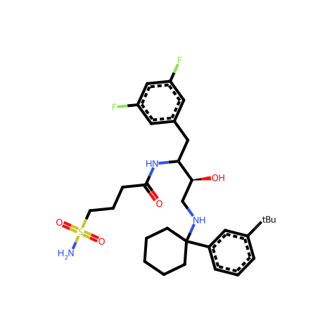 CC(C)(C)c1cccc(C2(NC[C@H](O)C(Cc3cc(F)cc(F)c3)NC(=O)CCCS(N)(=O)=O)CCCCC2)c1